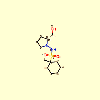 CC1(S(=O)(=O)NN2CCC[C@@H]2CO)CCCCC1